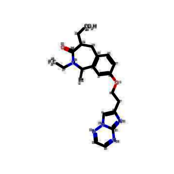 CCC1c2cc(OCCc3cn4nccnc4n3)ccc2CC(CC(=O)O)C(=O)N1CC(F)(F)F